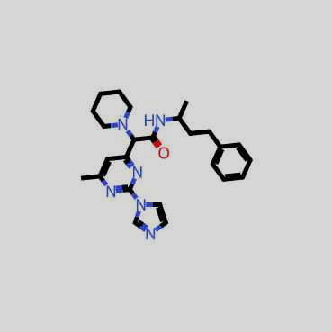 Cc1cc(C(C(=O)NC(C)CCc2ccccc2)N2CCCCC2)nc(-n2ccnc2)n1